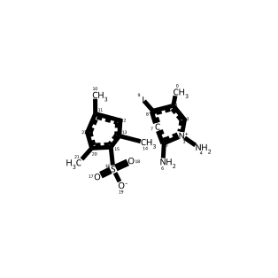 Cc1c[n+](N)c(N)cc1I.Cc1cc(C)c(S(=O)(=O)[O-])c(C)c1